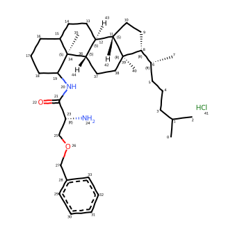 CC(C)CCC[C@@H](C)[C@H]1CC[C@H]2[C@@H]3CCC4CCCC(NC(=O)[C@H](N)COCc5ccccc5)[C@]4(C)[C@H]3CC[C@]12C.Cl